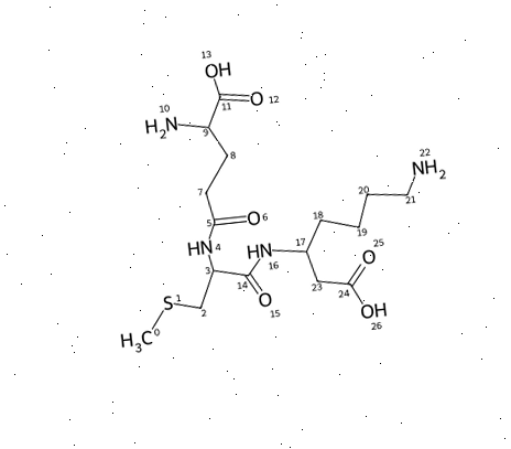 CSCC(NC(=O)CCC(N)C(=O)O)C(=O)NC(CCCCN)CC(=O)O